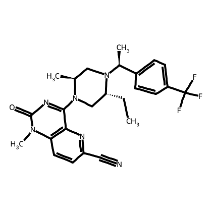 CC[C@@H]1CN(c2nc(=O)n(C)c3ccc(C#N)nc23)[C@@H](C)CN1[C@@H](C)c1ccc(C(F)(F)F)cc1